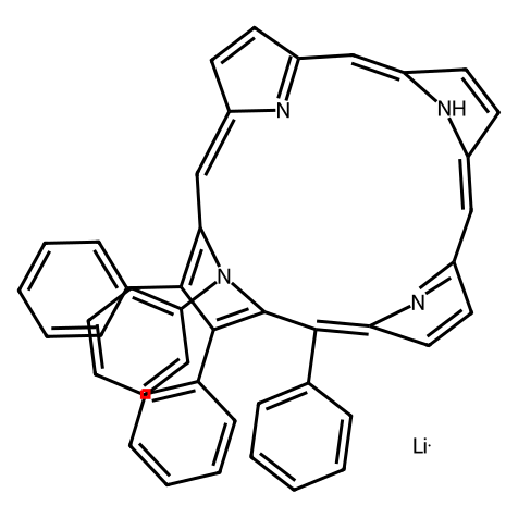 C1=Cc2cc3c(-c4ccccc4)c(-c4ccccc4)c(c(-c4ccccc4)c4nc(cc5ccc(cc1n2)[nH]5)C=C4)n3-c1ccccc1.[Li]